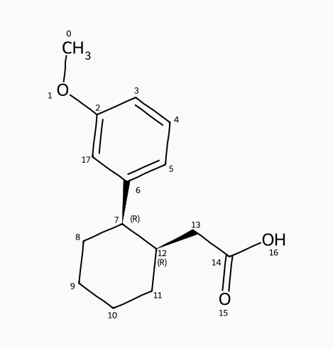 COc1cccc([C@@H]2CCCC[C@@H]2CC(=O)O)c1